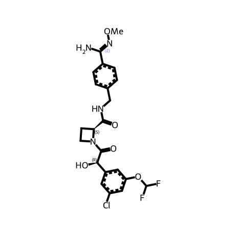 CO/N=C(\N)c1ccc(CNC(=O)[C@@H]2CCN2C(=O)[C@H](O)c2cc(Cl)cc(OC(F)F)c2)cc1